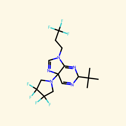 CC(C)(C)C1N=CC2(N3CC(F)(F)C(F)(F)C3)N=CN(CCC(F)(F)F)C2=N1